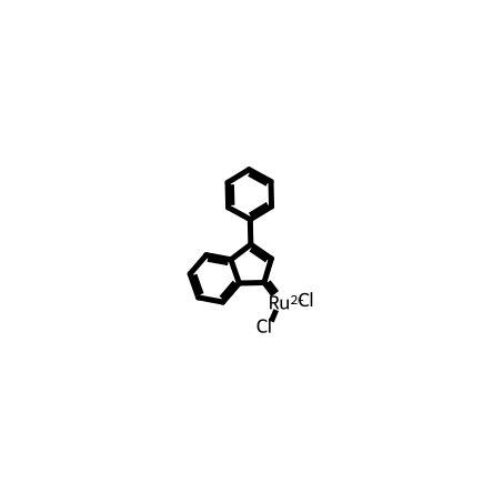 [Cl][Ru-2]([Cl])=[C]1C=C(c2ccccc2)c2ccccc21